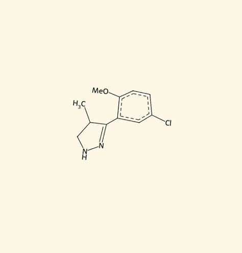 COc1ccc(Cl)cc1C1=NNCC1C